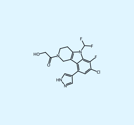 O=C(CO)N1CCc2c(c3c(-c4cn[nH]c4)cc(Cl)c(F)c3n2C(F)F)C1